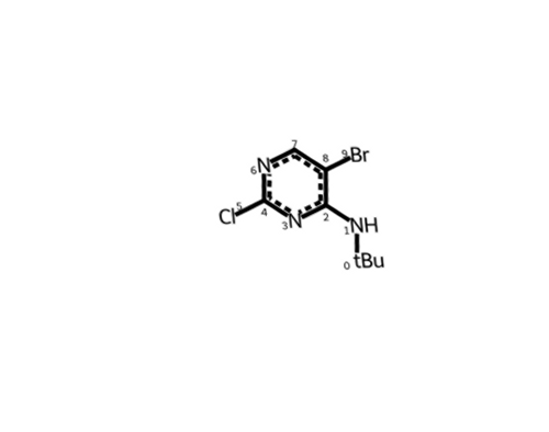 CC(C)(C)Nc1nc(Cl)ncc1Br